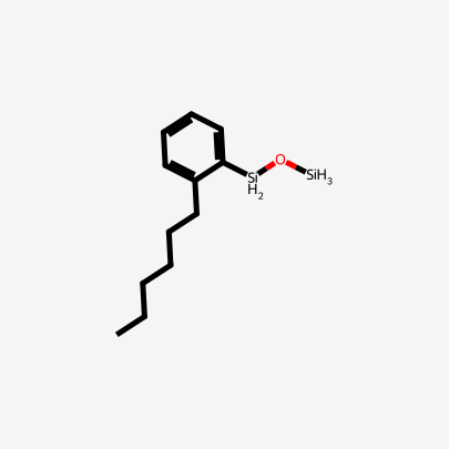 CCCCCCc1ccccc1[SiH2]O[SiH3]